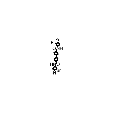 CN(C)c1ccc(NC(=O)c2ccc(-c3ccc(C(=O)Nc4ccc(N(C)C)c(Br)c4)cc3)cc2)cc1Br